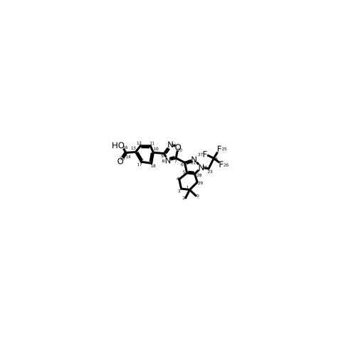 CC1(C)CCc2c(-c3nc(-c4ccc(C(=O)O)cc4)no3)nn(CC(F)(F)F)c2C1